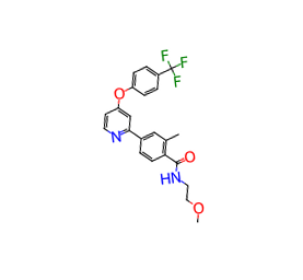 COCCNC(=O)c1ccc(-c2cc(Oc3ccc(C(F)(F)F)cc3)ccn2)cc1C